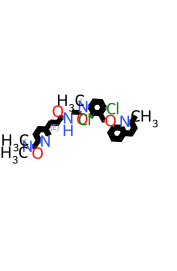 Cc1ccc2cccc(OCc3c(Cl)ccc(N(C)C(=O)CNC(=O)/C=C/c4ccc(C(=O)N(C)C)nc4)c3Cl)c2n1